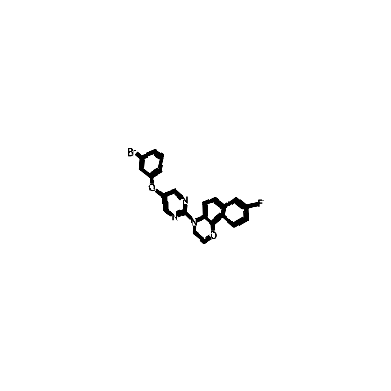 Fc1ccc2c3c(ccc2c1)N(c1ncc(Oc2cccc(Br)c2)cn1)CCO3